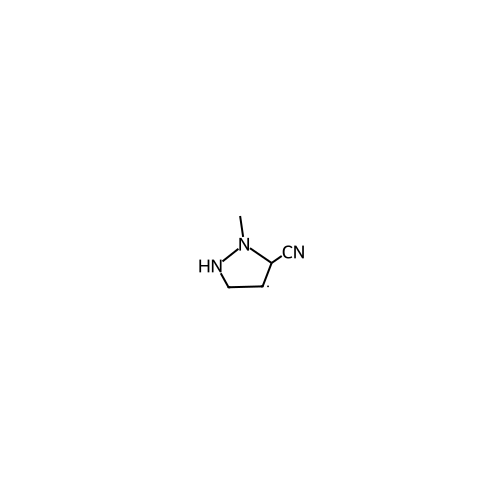 CN1NC[CH]C1C#N